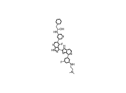 CN(C)CCNc1cc(F)cc(-c2nccc3[nH]c(-c4n[nH]c5ncc(-c6cncc(NC(O)Cc7ccccc7)c6)c(F)c45)nc23)c1